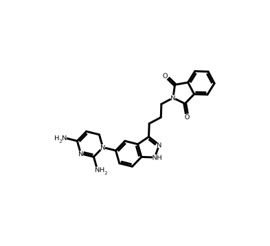 NC1=CCN(c2ccc3[nH]nc(CCCN4C(=O)c5ccccc5C4=O)c3c2)C(N)=N1